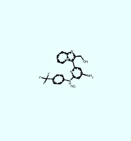 Cl.Nc1cc(Nc2ccc(C(F)(F)F)cc2)nc(-c2c(CO)nc3ccccn23)c1